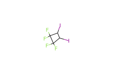 FC1(F)C(I)C(I)C1(F)F